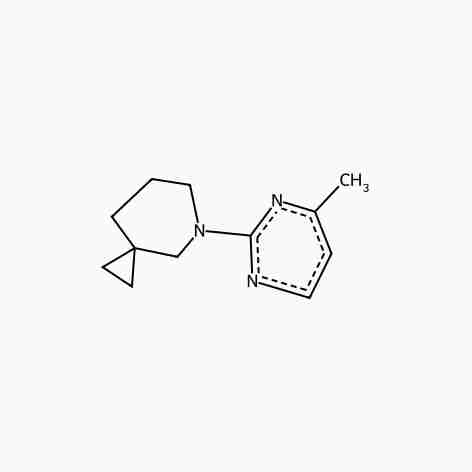 Cc1ccnc(N2CCCC3(CC3)C2)n1